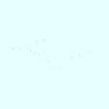 CO/N=C(\C(=O)N[C@@H]1C(=O)N2C(C(=O)[O-])=C(CSc3cccc4n(CC(=O)O)cc[n+]34)CS[C@@H]12)c1csc(N)n1